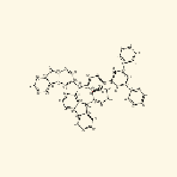 c1ccc(-c2nc(-c3ccccc3)nc(-c3ccc(-n4c5ccc6oc7ccccc7c6c5c5ccc6c7ccccc7n(-c7ccccc7)c6c54)cc3)n2)cc1